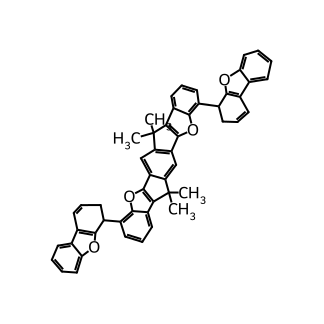 CC1(C)c2cc3c(cc2-c2oc4c(C5CC=Cc6c5oc5ccccc65)cccc4c21)C(C)(C)c1c-3oc2c(C3CC=Cc4c3oc3ccccc43)cccc12